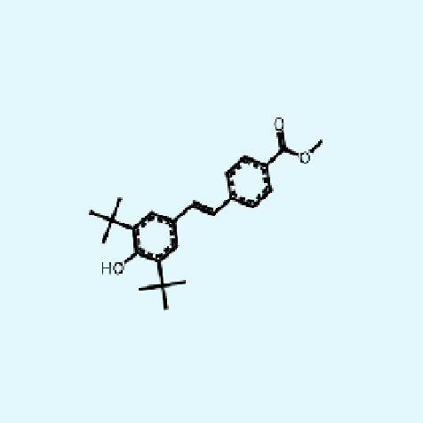 COC(=O)c1ccc(C=Cc2cc(C(C)(C)C)c(O)c(C(C)(C)C)c2)cc1